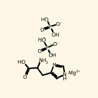 NC(Cc1c[nH]cn1)C(=O)O.O=P([O-])(O)O.O=P([O-])(O)O.[Mg+2]